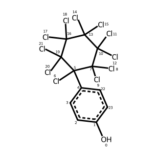 Oc1ccc(C2(Cl)C(Cl)(Cl)C(Cl)(Cl)C(Cl)(Cl)C(Cl)(Cl)C2(Cl)Cl)cc1